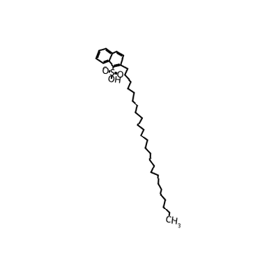 CCCCCCCCCCCCCCCCCCCCCCCCCCc1ccc2ccccc2c1S(=O)(=O)O